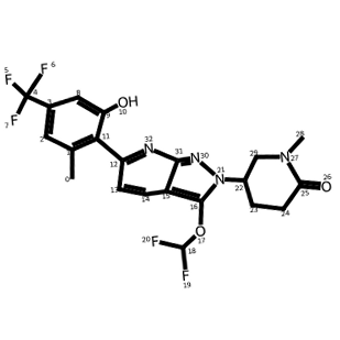 Cc1cc(C(F)(F)F)cc(O)c1-c1ccc2c(OC(F)F)n(C3CCC(=O)N(C)C3)nc2n1